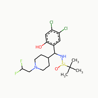 CC(C)(C)[S+]([O-])NC(c1cc(Cl)c(Cl)cc1O)C1CCN(CC(F)F)CC1